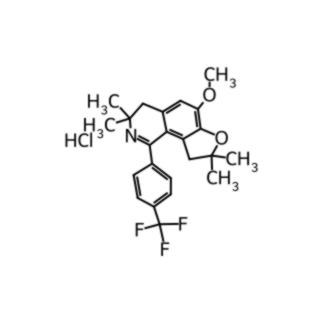 COc1cc2c(c3c1OC(C)(C)C3)C(c1ccc(C(F)(F)F)cc1)=NC(C)(C)C2.Cl